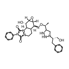 C[C@H](O/N=C1/[C@H]2CCn3c(=O)n(-c4ccccc4)c(=O)n3[C@H]2[C@H](O)[C@@H]2O[C@H]12)C1CN([C@H](CO)Cc2ccccc2)NN1